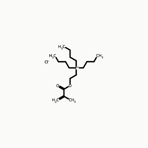 C=C(C)C(=O)OCC[P+](CCCC)(CCCC)CCCC.[Cl-]